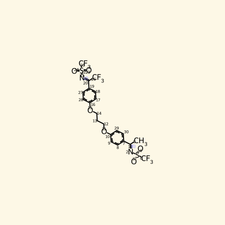 C/C(=N\S(=O)(=O)C(F)(F)F)c1ccc(OCCCOc2ccc(/C(=N/S(=O)(=O)C(F)(F)F)C(F)(F)F)cc2)cc1